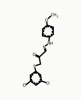 COc1ccc(NN=CC(=O)CSc2cc(Cl)cc(Cl)c2)cc1